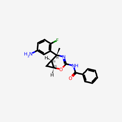 C[C@@]1(c2cc(N)ccc2F)N=C(NC(=O)c2ccccc2)O[C@H]2C[C@H]21